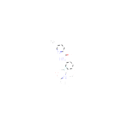 N#Cc1ccc(C(=O)Nc2ccc3c(c2)[C@@]2(CCO3)N=C([AsH2])COCC2(F)F)nc1